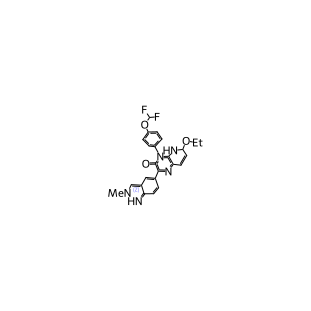 CCOC1C=Cc2nc(C3=C/C(=C/NC)C(=N)C=C3)c(=O)n(-c3ccc(OC(F)F)cc3)c2N1